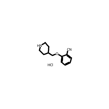 Cl.N#Cc1ccccc1OCC1CCNCC1